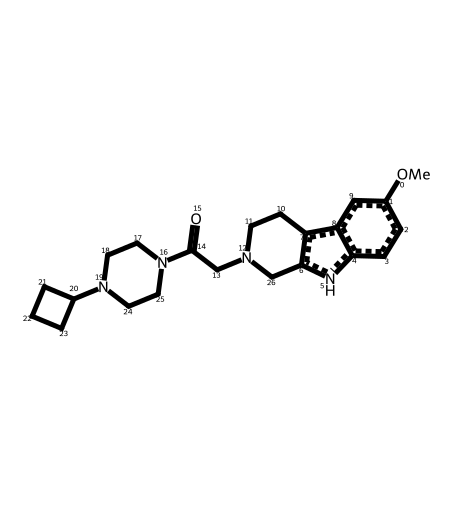 COc1ccc2[nH]c3c(c2c1)CCN(CC(=O)N1CCN(C2CCC2)CC1)C3